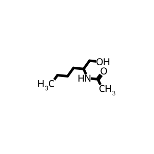 CCCCC(CO)NC(C)=O